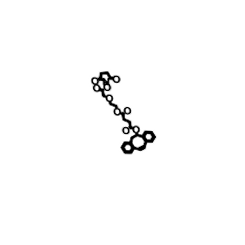 O=C(CCC(=O)OC1Cc2ccccc2C#Cc2ccccc21)OCCOCC(=O)ON1C(=O)CCC1=O